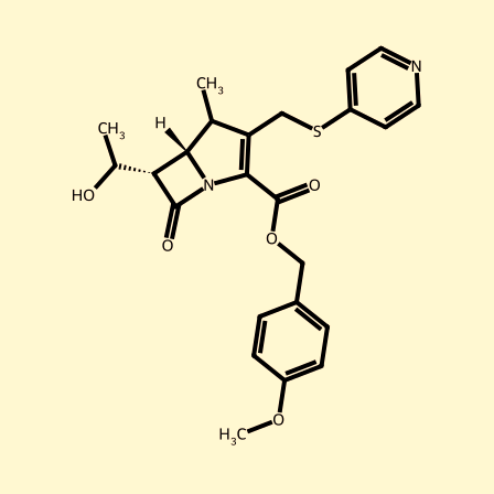 COc1ccc(COC(=O)C2=C(CSc3ccncc3)C(C)[C@H]3[C@@H](C(C)O)C(=O)N23)cc1